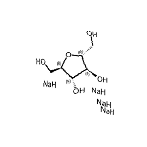 OC[C@H]1O[C@H](CO)[C@@H](O)[C@@H]1O.[NaH].[NaH].[NaH].[NaH]